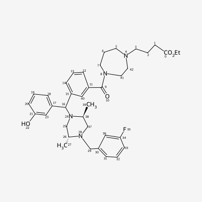 CCOC(=O)CCCN1CCCN(C(=O)c2cccc(C(c3cccc(O)c3)N3C[C@@H](C)N(Cc4cccc(F)c4)C[C@@H]3C)c2)CC1